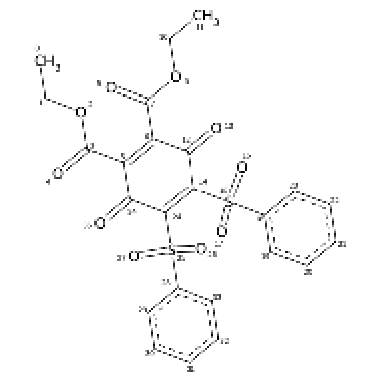 CCOC(=O)C1=C(C(=O)OCC)C(=O)C(S(=O)(=O)c2ccccc2)=C(S(=O)(=O)c2ccccc2)C1=O